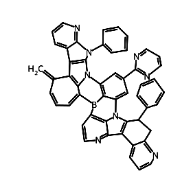 C=C1C=CC=C2B3c4c(cc(-c5ncccn5)cc4-n4c2c1c1c2cccnc2n(-c2ccccc2)c14)-n1c2c(c4nccc3c41)-c1cccnc1CC2c1ccccc1